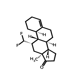 C[C@]12C[C@H](C(F)F)[C@H]3[C@@H](CCC4=CCCC[C@@H]43)[C@@H]1CCC2=O